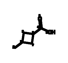 [CH2]C1CC(C(=O)O)C1